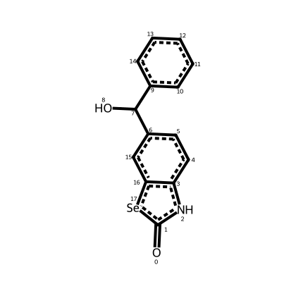 O=c1[nH]c2ccc(C(O)c3ccccc3)cc2[se]1